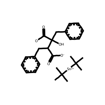 C[C](C)(C)[Sn+2][C](C)(C)C.O=C([O-])C(Cc1ccccc1)C(O)(Cc1ccccc1)C(=O)[O-]